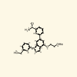 CC[C@H](N)c1cccc(-c2cc(OCCOC)c3cnn(-c4cccc(CO)n4)c3c2)n1